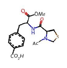 COC(=O)C(Cc1ccc(C(=O)O)cc1)NC(=O)C1CSCN1C(C)=O